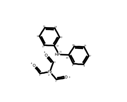 O=[CH][Fe]([CH]=O)[CH]=O.c1ccc(Pc2ccccc2)cc1